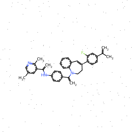 C=C(C)c1ccc(C2=Cc3ccccc3N(C(=C)c3ccc(NC(=C)c4cc(C)cnc4C)cc3)CC2)c(F)c1